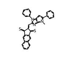 Cn1c(-c2ccccc2)cc2c1nc(C=C1C(=S)c3cc4ccccc4cc3C1=S)n2-c1ccccc1